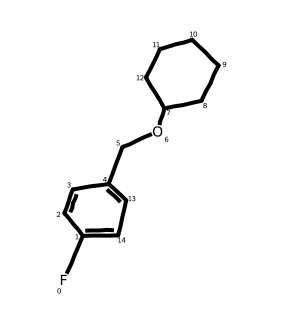 Fc1ccc(COC2CCCCC2)cc1